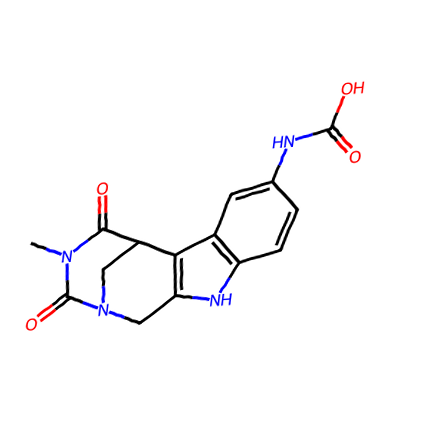 CN1C(=O)C2CN(Cc3[nH]c4ccc(NC(=O)O)cc4c32)C1=O